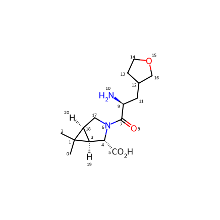 CC1(C)[C@@H]2[C@@H](C(=O)O)N(C(=O)[C@@H](N)CC3CCOC3)C[C@@H]21